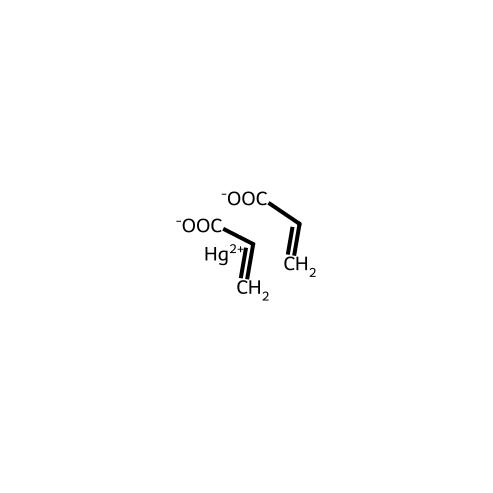 C=CC(=O)[O-].C=CC(=O)[O-].[Hg+2]